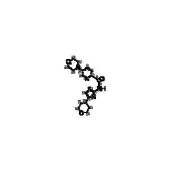 c1cc(C2OC2Nc2nc(C3CCOCC3)cs2)ncc1N1CCOCC1